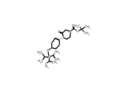 CC(C)[Si](O[C@H]1CC[C@H](N2CCN(C(=O)OC(C)(C)C)CC2=O)CC1)(C(C)C)C(C)C